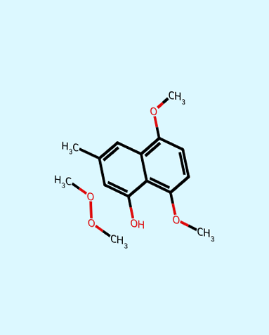 COOC.COc1ccc(OC)c2c(O)cc(C)cc12